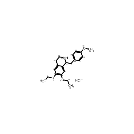 CCOc1cc2c(cc1OCC)C(Cc1ccc(OC)cc1)NCC2.Cl